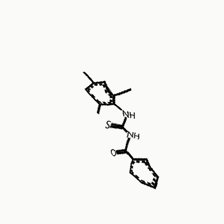 Cc1cc(C)c(NC(=S)NC(=O)c2ccccc2)c(C)c1